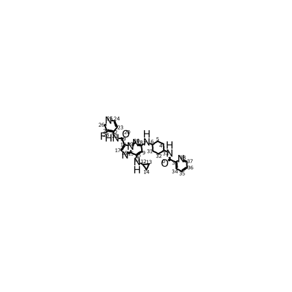 O=C(NC1CCC(Nc2cc(NC3CC3)c3ncc(C(=O)Nc4ccncc4F)n3n2)CC1)c1ccccn1